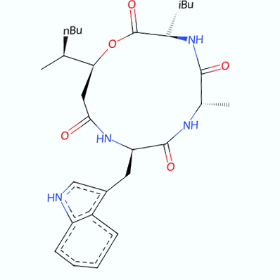 CCCC[C@H](C)[C@@H]1CC(=O)N[C@H](Cc2c[nH]c3ccccc23)C(=O)N[C@@H](C)C(=O)N[C@H]([C@@H](C)CC)C(=O)O1